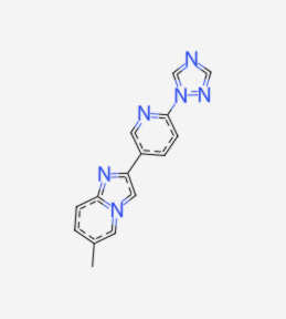 Cc1ccc2nc(-c3ccc(-n4cncn4)nc3)cn2c1